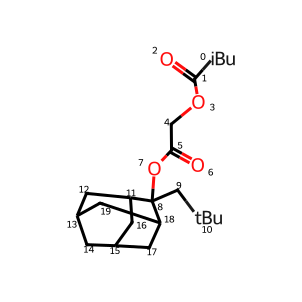 CCC(C)C(=O)OCC(=O)OC1(CC(C)(C)C)C2CC3CC(C2)CC1C3